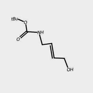 CC(C)(C)OC(=O)NCC=CCO